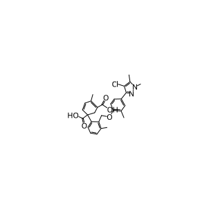 CC1=C(C(=O)O)CC(C(=O)O)(c2cccc(C)c2COc2ccc(-c3nn(C)c(C)c3Cl)cc2C)C=C1